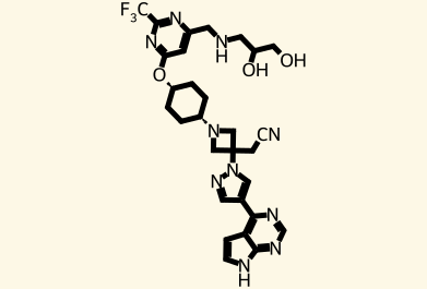 N#CCC1(n2cc(-c3ncnc4[nH]ccc34)cn2)CN([C@H]2CC[C@@H](Oc3cc(CNCC(O)CO)nc(C(F)(F)F)n3)CC2)C1